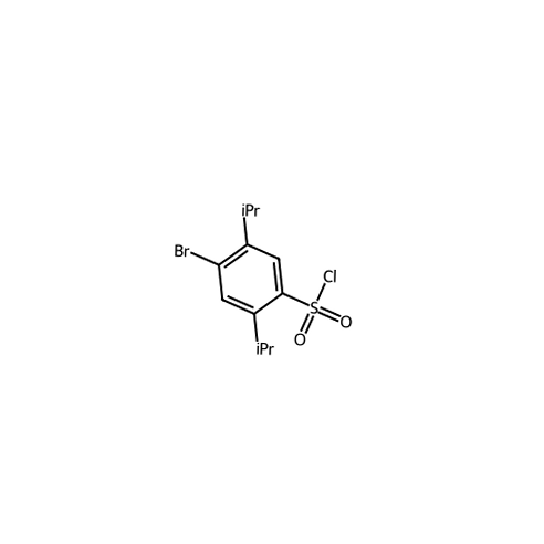 CC(C)c1cc(S(=O)(=O)Cl)c(C(C)C)cc1Br